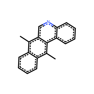 Cc1c2ccccc2c(C)c2c1cnc1ccccc12